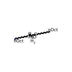 CCCCCCCC/C=C\CCCCCCCCOC(=O)C[C@H](N)C(=O)OCCCCCCCC/C=C\CCCCCCCC